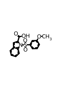 COc1cccc(S(=O)(=O)n2c(C(=O)O)cc3ccccc32)c1